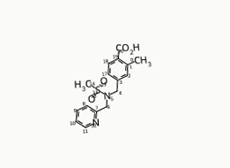 Cc1cc(CN(Cc2ccccn2)S(C)(=O)=O)ccc1C(=O)O